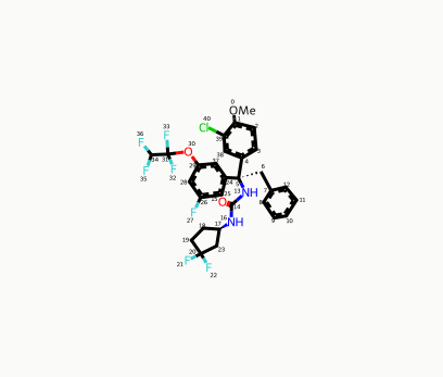 COc1ccc([C@@](Cc2ccccc2)(NC(=O)N[C@@H]2CCC(F)(F)C2)c2cc(F)cc(OC(F)(F)C(F)F)c2)cc1Cl